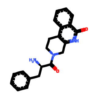 N[C@H](Cc1ccccc1)C(=O)N1CCc2c([nH]c(=O)c3ccccc23)C1